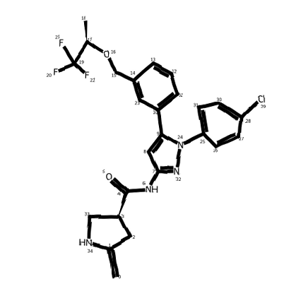 C=C1C[C@H](C(=O)Nc2cc(-c3cccc(CO[C@H](C)C(F)(F)F)c3)n(-c3ccc(Cl)cc3)n2)CN1